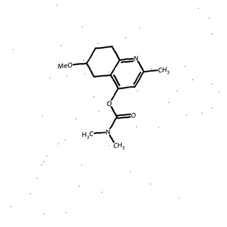 COC1CCc2nc(C)cc(OC(=O)N(C)C)c2C1